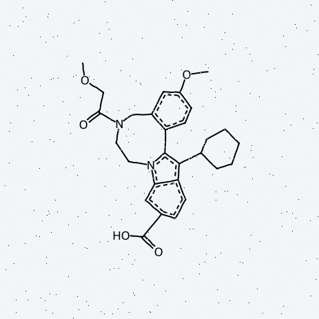 COCC(=O)N1CCn2c(c(C3CCCCC3)c3ccc(C(=O)O)cc32)-c2ccc(OC)cc2C1